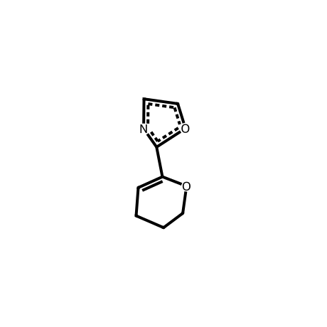 C1=C(c2ncco2)OCCC1